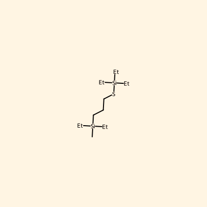 CC[Si](C)(CC)CCCS[Si](CC)(CC)CC